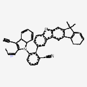 C#CC1=C(/C=C\C)N(c2cccc(C#N)c2-c2ccc3oc4cc5c(cc4c3c2)C2=C(C=CCC2)C5(C)C)C2C=CC=CC12